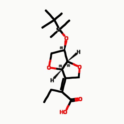 CCC(C(=O)O)=C1CO[C@H]2[C@@H]1OC[C@H]2O[Si](C)(C)C(C)(C)C